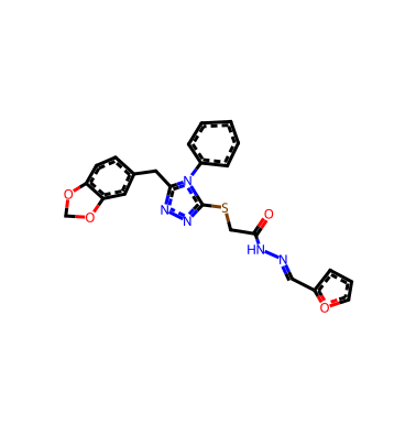 O=C(CSc1nnc(Cc2ccc3c(c2)OCO3)n1-c1ccccc1)NN=Cc1ccco1